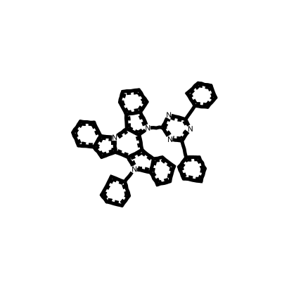 c1ccc(-c2nc(-c3ccccc3)nc(-n3c4ccccc4c4c3c3c5ccccc5n(-c5ccccc5)c3c3cc5ccccc5n34)n2)cc1